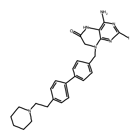 Nc1nc(I)nc2c1NC(=O)CN2Cc1ccc(-c2ccc(CCN3CCCCC3)cc2)cc1